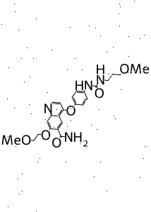 COCCCNC(=O)Nc1ccc(Oc2ccnc3cc(OCCOC)c(C(N)=O)cc23)cc1